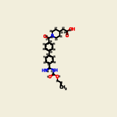 C=CCOC(=O)NC(=N)c1ccc(-c2ccc(C(=O)N3CCC(CC(=O)O)CC3)cc2)cc1